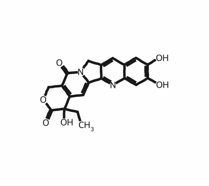 CCC1(O)C(=O)OCc2c1cc1n(c2=O)Cc2cc3cc(O)c(O)cc3nc2-1